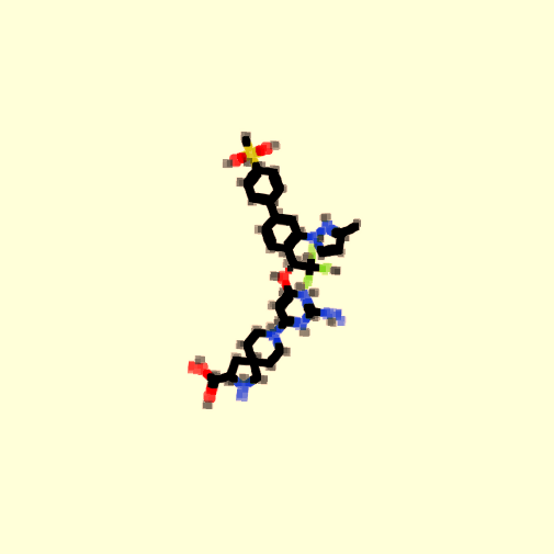 Cc1ccn(-c2cc(-c3ccc(S(C)(=O)=O)cc3)ccc2[C@@H](Oc2cc(N3CCC4(CC3)CNC(C(=O)O)C4)nc(N)n2)C(F)(F)F)n1